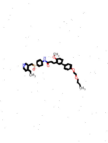 CCCCOCCOc1ccc(-c2ccc(OC)c(/C=C/C(=O)Nc3ccc([S@+]([O-])Cc4cnccc4CC)cc3)c2)cc1